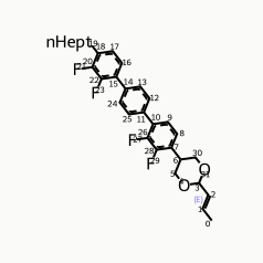 C/C=C/C1OCC(c2ccc(-c3ccc(-c4ccc(CCCCCCC)c(F)c4F)cc3)c(F)c2F)CO1